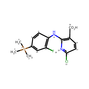 CS(C)(C)c1ccc(Nc2nc(Cl)ccc2C(=O)O)c(F)c1